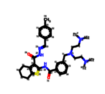 CCN(CC)CCN(CCN(CC)CC)Cc1cccc(C(=O)Nc2sc3c(c2C(=O)NN=Cc2ccc(C)cc2)CCCC3)c1